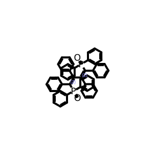 O=P(/C(=C(\C(=C(\c1ccccc1)P(=O)(c1ccccc1)c1ccccc1)c1ccccc1)c1ccccc1)c1ccccc1)(c1ccccc1)c1ccccc1